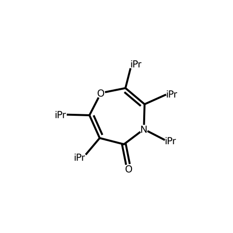 CC(C)C1=C(C(C)C)C(=O)N(C(C)C)C(C(C)C)=C(C(C)C)O1